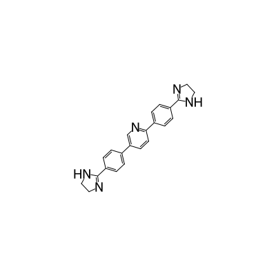 c1cc(-c2ccc(-c3ccc(C4=NCCN4)cc3)nc2)ccc1C1=NCCN1